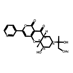 CC(=O)OCC(C)(O)[C@H]1C[C@@H](O)[C@]2(C)Oc3cc(-c4cccnc4)oc(=O)c3C(=O)[C@@H]2C1